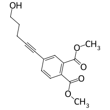 COC(=O)c1ccc(C#CCCCO)cc1C(=O)OC